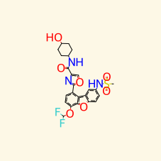 CS(=O)(=O)Nc1ccc2oc3c(OC(F)F)ccc(-c4nc(C(=O)NC5CCC(O)CC5)co4)c3c2c1